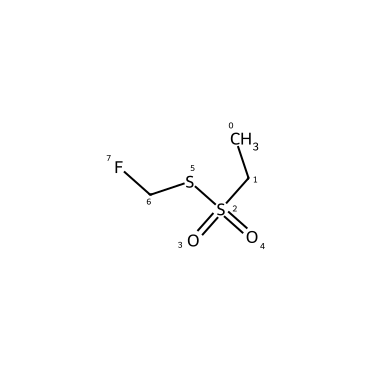 CCS(=O)(=O)SCF